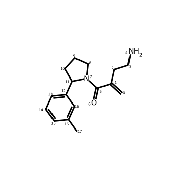 C=C(CCN)C(=O)N1CCCC1c1cccc(C)c1